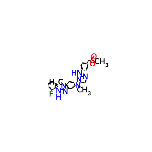 CN(c1ccc2c(c1)nc(Nc1ccccc1F)n2C)c1ccnc(Nc2ccc(CS(C)(=O)=O)cc2)n1